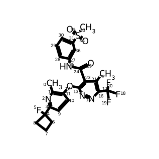 Cc1nc(C2(F)CCC2)ccc1Oc1nnc(C(F)(F)F)c(C)c1C(=O)Nc1cccc(S(C)(=O)=O)c1